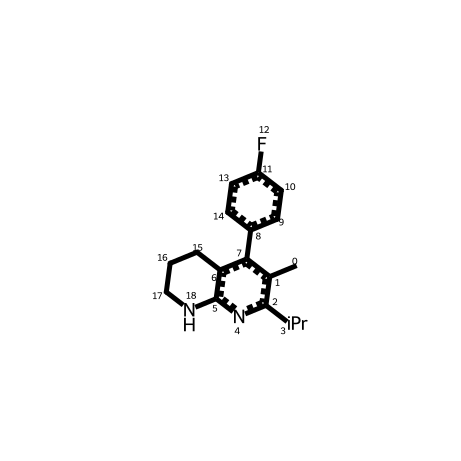 Cc1c(C(C)C)nc2c(c1-c1ccc(F)cc1)CCCN2